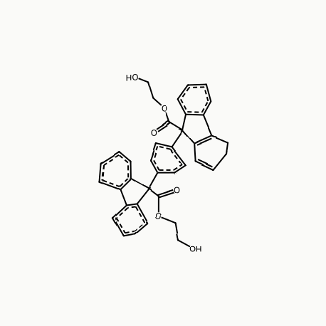 O=C(OCCO)C1(c2ccc(C3(C(=O)OCCO)c4ccccc4-c4ccccc43)cc2)C2=C(CCC=C2)c2ccccc21